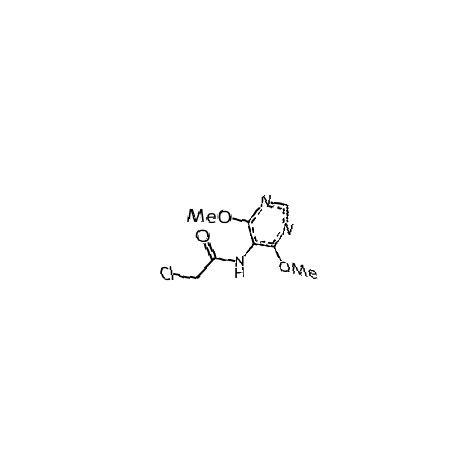 COc1ncnc(OC)c1NC(=O)CCl